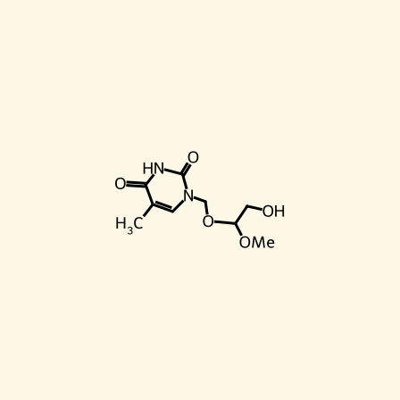 COC(CO)OCn1cc(C)c(=O)[nH]c1=O